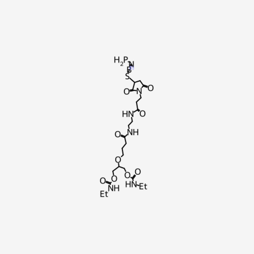 CCNC(=O)OCC(COC(=O)NCC)OCCCC(=O)NCCNC(=O)CCN1C(=O)CC(S/B=N/P)C1=O